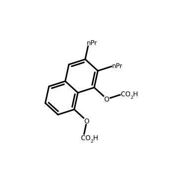 CCCc1cc2cccc(OC(=O)O)c2c(OC(=O)O)c1CCC